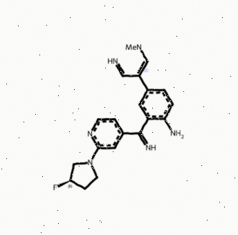 CN/C=C(\C=N)c1ccc(N)c(C(=N)c2ccnc(N3CC[C@@H](F)C3)c2)c1